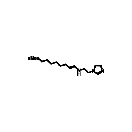 CCCCCCCCCCCCCCCC=CNCCN1C=NCC1